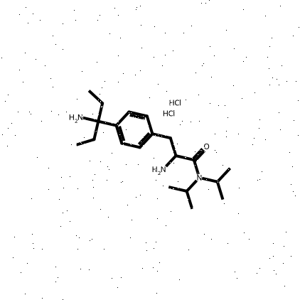 CCC(N)(CC)c1ccc(CC(N)C(=O)N(C(C)C)C(C)C)cc1.Cl.Cl